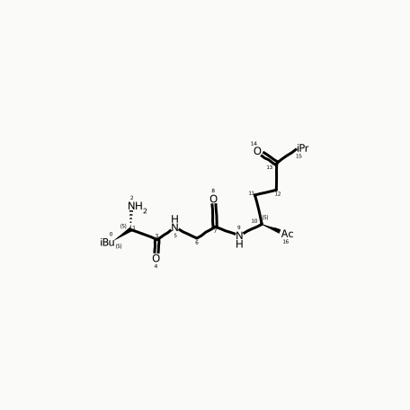 CC[C@H](C)[C@H](N)C(=O)NCC(=O)N[C@@H](CCC(=O)C(C)C)C(C)=O